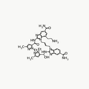 CCn1nc(C)cc1C(=O)Nc1nc2cc(C(N)=O)cc(CCN)c2n1C/C=C/Cn1c(NC(O)c2cc(C)nn2CC)nc2cc(C(N)=O)ccc21